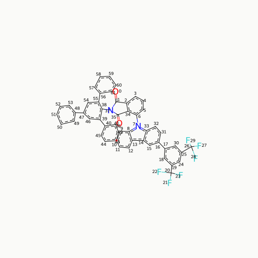 O=C1c2cccc(-n3c4ccccc4c4cc(-c5cc(C(F)(F)F)cc(C(F)(F)F)c5)ccc43)c2C(=O)N1c1c(-c2ccccc2)cc(-c2ccccc2)cc1-c1ccccc1